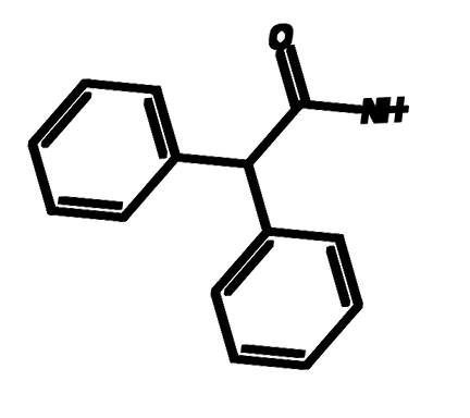 [NH]C(=O)C(c1ccccc1)c1ccccc1